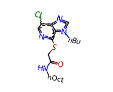 CCCCCCCCNC(=O)CSc1ncc(Cl)c2ncn(CCCC)c12